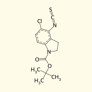 CC(C)(C)OC(=O)N1CCc2c1ccc(Cl)c2N=C=S